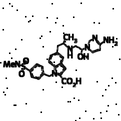 CNS(=O)(=O)c1ccc(Cn2c(C(=O)O)cc3cc(CC(C)NCC(O)N4C=CC(N)=NC4)ccc32)cc1